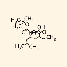 CCC(C[C@H](CC(C)C)NC(=O)OC(C)(C)C)S(=O)(=O)O